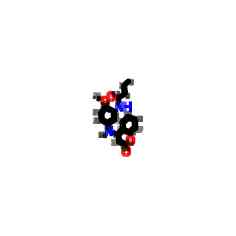 C/C=C/C(=O)Nc1cc(N(C)c2cc(=O)oc3ccccc23)ccc1OC